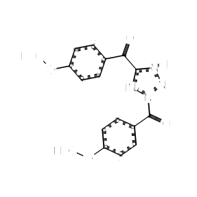 COc1ccc(C(=O)c2nn[n+](C(=O)c3ccc(OC)cc3)[nH]2)cc1.[Cl-]